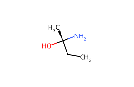 CC[C@@](C)(N)O